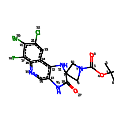 CC(C)(C)OC(=O)N1CC2(C1)Nc1c(cnc3c(F)c(Br)c(Cl)cc13)NC2=O